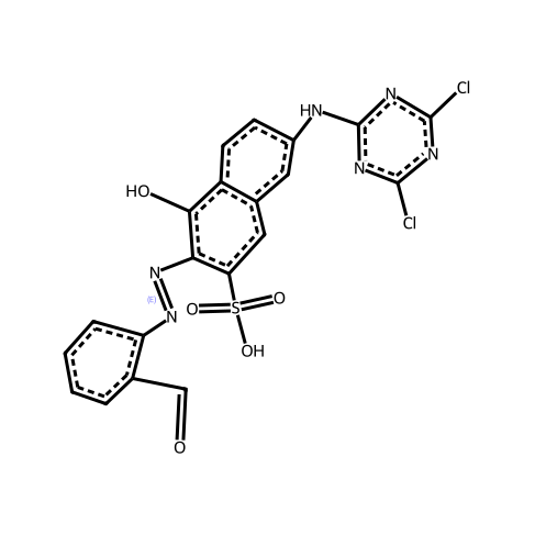 O=Cc1ccccc1/N=N/c1c(S(=O)(=O)O)cc2cc(Nc3nc(Cl)nc(Cl)n3)ccc2c1O